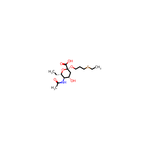 CCSCCCO[C@]1(C(=O)O)C[C@H](O)[C@@H](NC(C)=O)[C@H](CC)O1